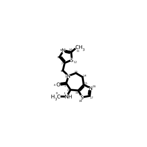 CNC1C(=O)N(Cc2cnc(C)s2)CCc2ncsc21